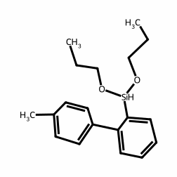 CCCO[SiH](OCCC)c1ccccc1-c1ccc(C)cc1